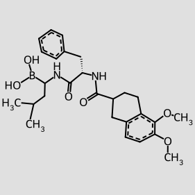 COc1ccc2c(c1OC)CCC(C(=O)N[C@@H](Cc1ccccc1)C(=O)NC(CC(C)C)B(O)O)C2